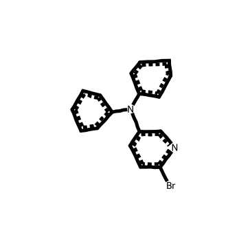 Brc1ccc(N(c2ccccc2)c2ccccc2)cn1